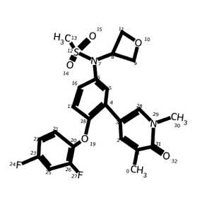 Cc1cc(-c2cc(N(C3COC3)S(C)(=O)=O)ccc2Oc2ccc(F)cc2F)cn(C)c1=O